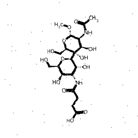 CO[C@H]1O[C@H](CO)[C@](O)([C@@H]2O[C@H](CO)[C@H](O)[C@@H](NC(=O)CCC(=O)O)[C@H]2O)[C@H](O)[C@@H]1NC(C)=O